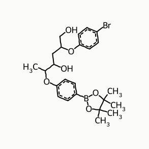 CC(Oc1ccc(B2OC(C)(C)C(C)(C)O2)cc1)C(O)CC(CO)Oc1ccc(Br)cc1